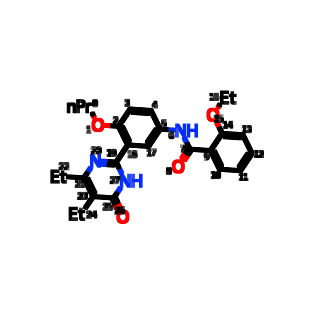 CCCOc1ccc(NC(=O)c2ccccc2OCC)cc1-c1nc(CC)c(CC)c(=O)[nH]1